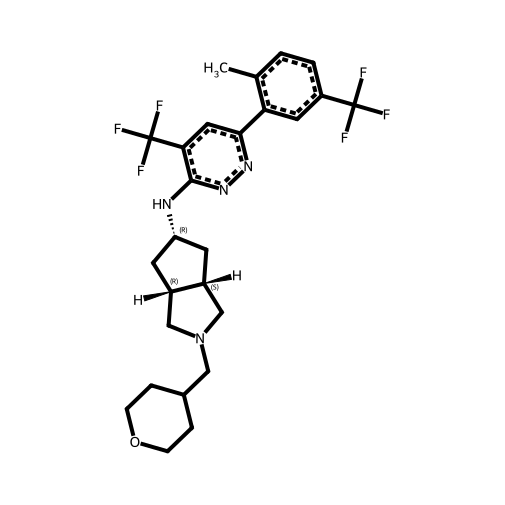 Cc1ccc(C(F)(F)F)cc1-c1cc(C(F)(F)F)c(N[C@@H]2C[C@@H]3CN(CC4CCOCC4)C[C@@H]3C2)nn1